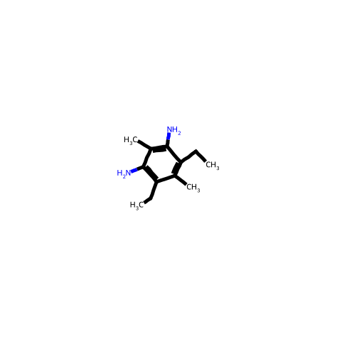 CCc1c(C)c(CC)c(N)c(C)c1N